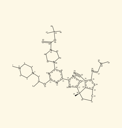 CC(CN1CCN(C)CC1)Oc1nc(-c2noc([C@@]3(C)CCCc4sc(/N=C/N(C)C)c(C#N)c43)n2)cc(N2CCN(C(=O)OC(C)(C)C)CC2)n1